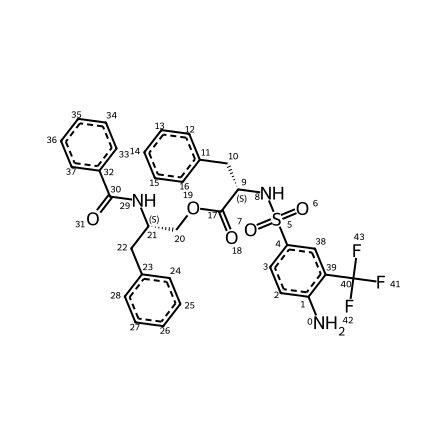 Nc1ccc(S(=O)(=O)N[C@@H](Cc2ccccc2)C(=O)OC[C@H](Cc2ccccc2)NC(=O)c2ccccc2)cc1C(F)(F)F